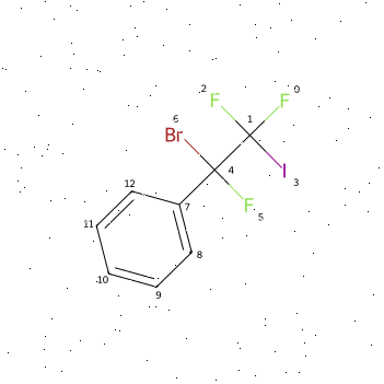 FC(F)(I)C(F)(Br)c1ccccc1